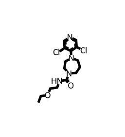 CCOCCNC(=O)N1CCCN(c2c(Cl)cncc2Cl)CC1